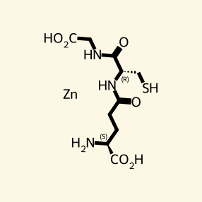 N[C@@H](CCC(=O)N[C@@H](CS)C(=O)NCC(=O)O)C(=O)O.[Zn]